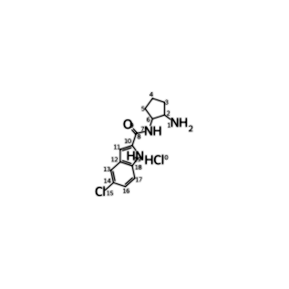 Cl.NC1CCCC1NC(=O)c1cc2cc(Cl)ccc2[nH]1